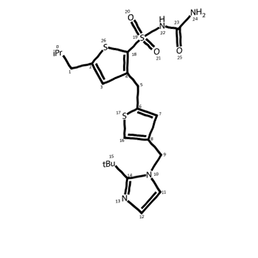 CC(C)Cc1cc(Cc2cc(Cn3ccnc3C(C)(C)C)cs2)c(S(=O)(=O)NC(N)=O)s1